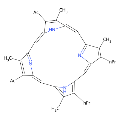 CCCC1=C(C)c2cc3[nH]c(cc4nc(cc5[nH]c(cc1n2)c(CCC)c5C)C(C(C)=O)=C4C)c(C(C)=O)c3C